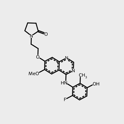 COc1cc2c(Nc3c(F)ccc(O)c3C)ncnc2cc1OCCN1CCCC1=O